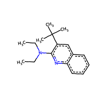 CCN(CC)c1nc2ccccc2cc1C(C)(C)C